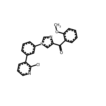 COc1ccccc1C(=O)c1cn(-c2cccc(-c3cccnc3Cl)c2)cn1